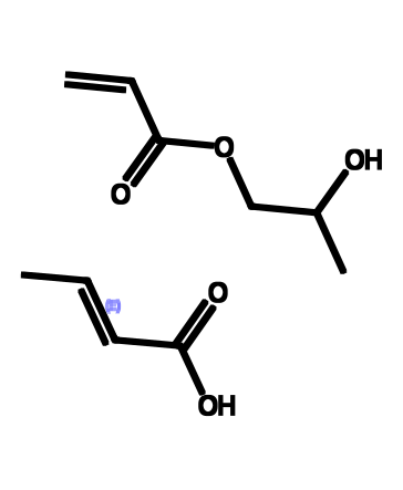 C/C=C/C(=O)O.C=CC(=O)OCC(C)O